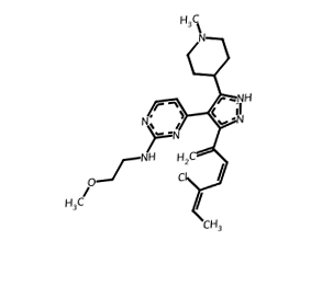 C=C(/C=C\C(Cl)=C/C)c1n[nH]c(C2CCN(C)CC2)c1-c1ccnc(NCCOC)n1